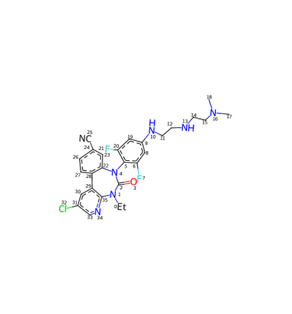 CCN1C(=O)N(c2c(F)cc(NCCNCCN(C)C)cc2F)c2cc(C#N)ccc2-c2cc(Cl)cnc21